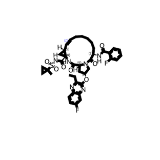 CCc1nc2ccc(F)cc2nc1O[C@@H]1C[C@H]2C(=O)N[C@]3(C(=O)NS(=O)(=O)C4(C)CC4)C[C@H]3/C=C\CCCCC[C@H](NC(=O)c3ccccc3F)C(=O)N2C1